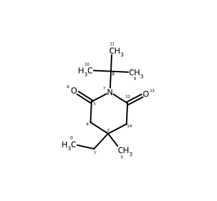 CCC1(C)CC(=O)N(C(C)(C)C)C(=O)C1